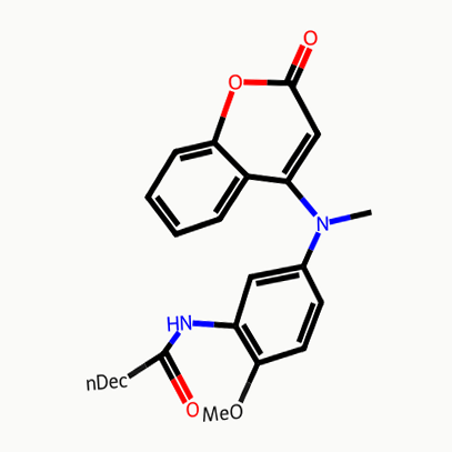 CCCCCCCCCCC(=O)Nc1cc(N(C)c2cc(=O)oc3ccccc23)ccc1OC